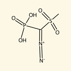 CS(=O)(=O)C(=[N+]=[N-])P(=O)(O)O